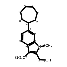 CCOC(=O)c1c(CO)n(C)c2cc(C3CCCCCC3)ccc12